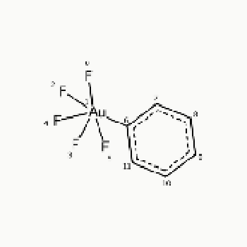 [F][Au]([F])([F])([F])([F])[c]1ccccc1